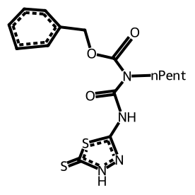 CCCCCN(C(=O)Nc1n[nH]c(=S)s1)C(=O)OCc1ccccc1